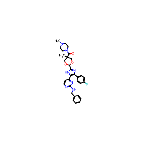 CN1CCN(C(=O)C2(C)COC(c3nc(-c4ccc(F)cc4)c(-c4ccnc(NCc5ccccc5)n4)[nH]3)OC2)CC1